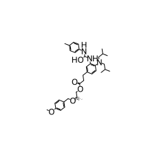 COc1ccc(CO[C@@H](C)COC(=O)CCc2ccc(N(CC(C)C)CC(C)C)c(NC(O)Nc3ccc(C)cc3)c2)cc1